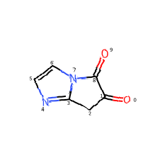 O=C1Cc2nccn2C1=O